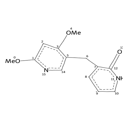 COc1cc(OC)c(Cc2c[c]c[nH]c2=O)cn1